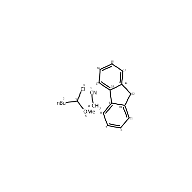 CC#N.CCCCC(Cl)OC.c1ccc2c(c1)Cc1ccccc1-2